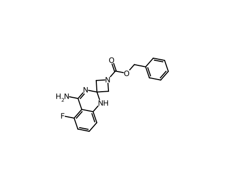 NC1=NC2(CN(C(=O)OCc3ccccc3)C2)Nc2cccc(F)c21